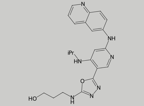 CC(C)Nc1cc(Nc2ccc3ncccc3c2)ncc1-c1nnc(NCCCO)o1